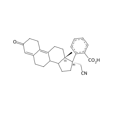 C[C@]12CCC3=C4CCC(=O)C=C4CCC3C1CC[C@]2(CC#N)c1ccccc1C(=O)O